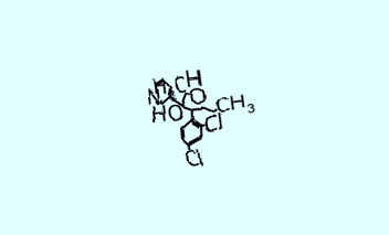 CCCC(c1ccc(Cl)cc1Cl)C(O)(c1cccnc1)C(C)O